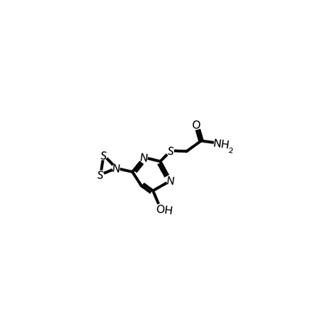 NC(=O)CSc1nc(O)cc(-n2ss2)n1